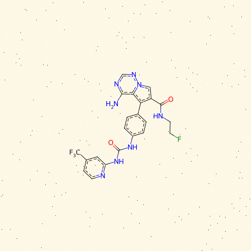 Nc1ncnn2cc(C(=O)NCCF)c(-c3ccc(NC(=O)Nc4cc(C(F)(F)F)ccn4)cc3)c12